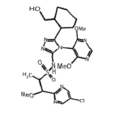 COc1ncnc(OC)c1-n1c(NS(=O)(=O)C(C)C(OC)c2ncc(Cl)cn2)nnc1C1CCCCC1CO